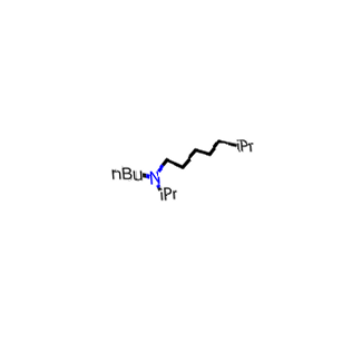 CCCCN(CCCCCC(C)C)C(C)C